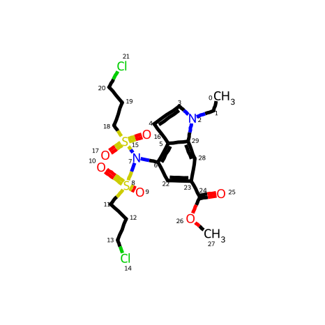 CCn1ccc2c(N(S(=O)(=O)CCCCl)S(=O)(=O)CCCCl)cc(C(=O)OC)cc21